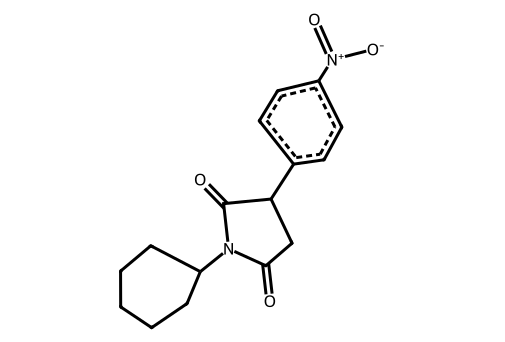 O=C1CC(c2ccc([N+](=O)[O-])cc2)C(=O)N1C1CCCCC1